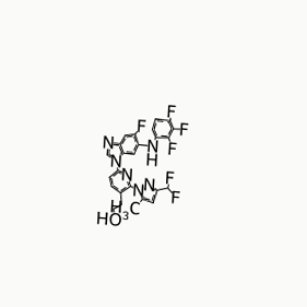 Cc1cc(C(F)F)nn1-c1nc(-n2cnc3cc(F)c(Nc4ccc(F)c(F)c4F)cc32)ccc1CCO